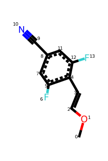 CO/C=C/c1c(F)cc(C#N)cc1F